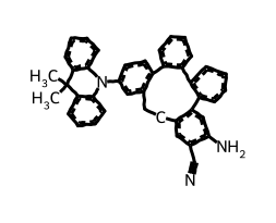 CC1(C)c2ccccc2N(c2ccc3c(c2)CCc2cc(C#N)c(N)cc2-c2ccccc2-c2ccccc2-3)c2ccccc21